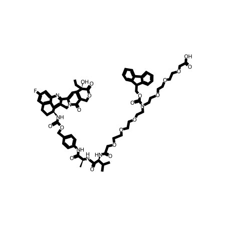 CC[C@@]1(O)C(=O)OCc2c1cc1n(c2=O)Cc2c-1nc1cc(F)cc3c1c2[C@@H](NC(=O)OCc1ccc(NC(=O)[C@H](C)NC(=O)[C@@H](NC(=O)COCCOCCOCCN(CCOCCOCCOCC(=O)O)C(=O)OCC2c4ccccc4-c4ccccc42)C(C)C)cc1)CC3